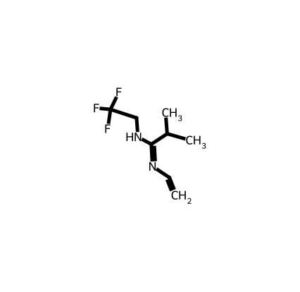 C=C/N=C(/NCC(F)(F)F)C(C)C